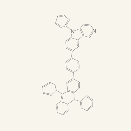 C1=CCC(C2=C3C=CC=CC3C(c3ccccc3)c3ccc(-c4ccc(-c5ccc6c(c5)c5cnccc5n6-c5ccccc5)cc4)cc32)C=C1